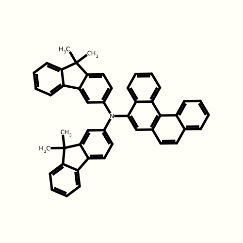 CC1(C)c2ccccc2-c2cc(N(c3ccc4c(c3)C(C)(C)c3ccccc3-4)c3cc4ccc5ccccc5c4c4ccccc34)ccc21